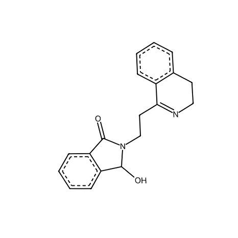 O=C1c2ccccc2C(O)N1CCC1=NCCc2ccccc21